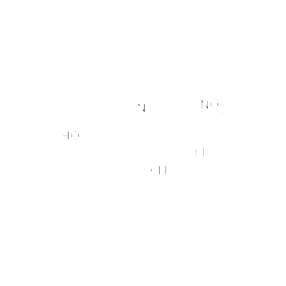 Cc1c(C(CO)C2CC2)ncc([N+](=O)[O-])c1Cl